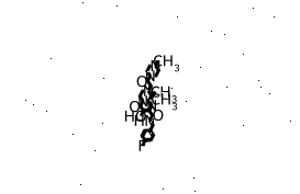 CN1CCN(C(=O)CN2CCn3c(nc(C(=O)NCc4ccc(F)cc4)c(O)c3=O)C2(C)C)CC1